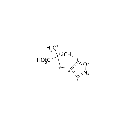 CC(C)(Cc1cnoc1)C(=O)O